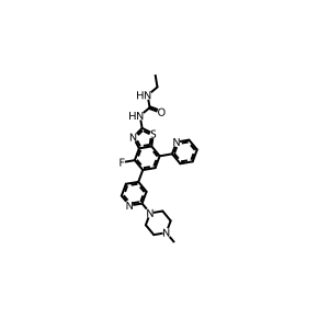 CCNC(=O)Nc1nc2c(F)c(-c3ccnc(N4CCN(C)CC4)c3)cc(-c3ccccn3)c2s1